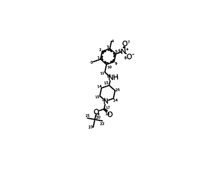 Cc1cc(C)c([N+](=O)[O-])cc1CNC1CCN(C(=O)OC(C)(C)C)CC1